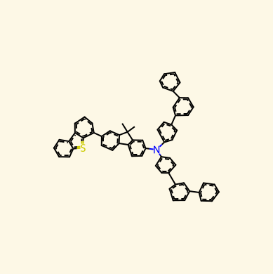 CC1(C)c2cc(-c3cccc4c3sc3ccccc34)ccc2-c2ccc(N(c3ccc(-c4cccc(-c5ccccc5)c4)cc3)c3ccc(-c4cccc(-c5ccccc5)c4)cc3)cc21